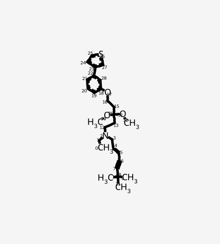 CCN(CC=CC#CC(C)(C)C)CCC(CCOc1cccc(-c2ccsc2)c1)(OC)OC